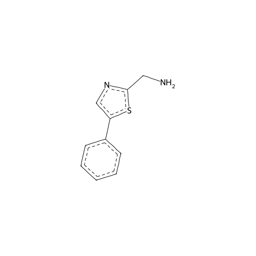 NCc1ncc(-c2ccccc2)s1